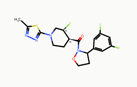 Cc1nnc(N2CC[C@H](C(=O)N3OCCC3c3cc(F)cc(F)c3)[C@H](F)C2)s1